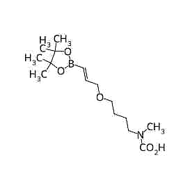 CN(CCCCOCC=CB1OC(C)(C)C(C)(C)O1)C(=O)O